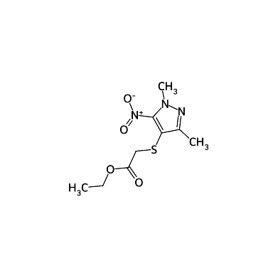 CCOC(=O)CSc1c(C)nn(C)c1[N+](=O)[O-]